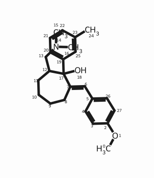 COc1ccc(C=C2CCCCC(CN(C)C)C2(O)c2cccc(C)c2)cc1